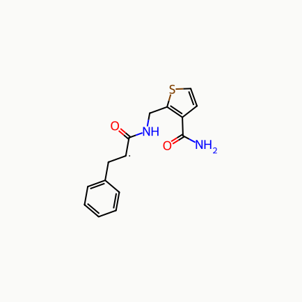 NC(=O)c1ccsc1CNC(=O)[CH]Cc1ccccc1